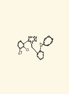 Clc1cccc(-c2nnnn2Cc2ccccc2Oc2ccccc2)c1Cl